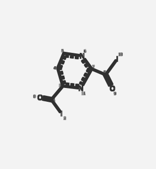 O=C(I)c1ccnc(C(=O)I)n1